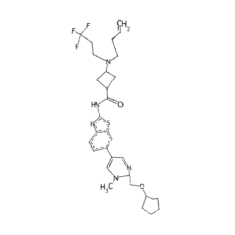 C=CCCN(CCC(F)(F)F)C1CC(C(=O)Nc2nc3ccc(C4=CN(C)C(COC5CCCC5)N=C4)cc3s2)C1